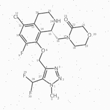 Cn1nnc(COc2c(F)cc(Cl)c3c2[C@@H](CN2CCOCC2=O)NCC3)c1C(F)F